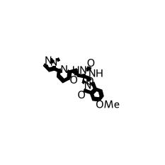 COc1ccc2c(c1)C(=O)N(C[C@@]1(c3cc4nc(-c5ccnn5C)ccc4o3)NC(=O)NC1=O)C2